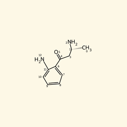 C[C@@H](N)CC(=O)c1ccccc1N